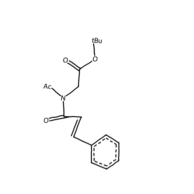 CC(=O)N(CC(=O)OC(C)(C)C)C(=O)/C=C/c1ccccc1